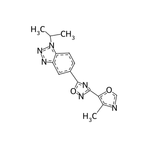 Cc1ncoc1-c1noc(-c2ccc3c(c2)nnn3C(C)C)n1